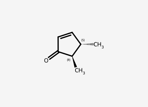 C[C@H]1C=CC(=O)[C@@H]1C